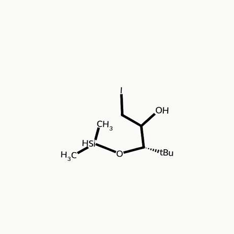 C[SiH](C)O[C@H](C(O)CI)C(C)(C)C